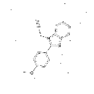 C#CCn1c(-c2ccc(OC)cc2)nc2ccccc21